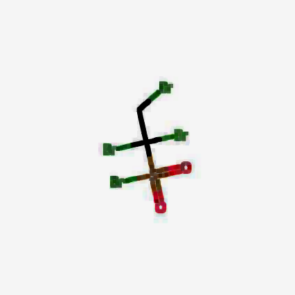 O=S(=O)(Br)C(Br)(Br)CBr